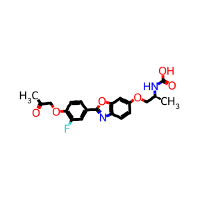 CC(=O)COc1ccc(-c2nc3ccc(OC[C@H](C)NC(=O)O)cc3o2)cc1F